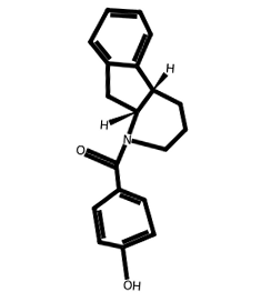 O=C(c1ccc(O)cc1)N1CCC[C@H]2c3ccccc3C[C@H]21